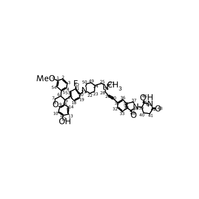 COc1cccc(C2COc3cc(O)ccc3C2c2ccc(N3CCC(CN(C)CC#Cc4ccc5c(c4)CN(C4CCC(=O)NC4=O)C5=O)CC3)c(F)c2)c1